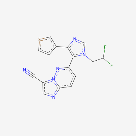 N#Cc1cnc2ccc(-c3c(-c4ccsc4)ncn3CC(F)F)nn12